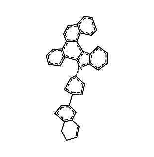 C1=Cc2cc(-c3ccc(-n4c5ccccc5c5c6c7ccccc7ccc6c6ccccc6c54)cc3)ccc2CC1